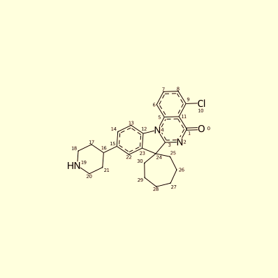 O=c1nc2n(c3cccc(Cl)c13)-c1ccc(C3CCNCC3)cc1C21CCCCCC1